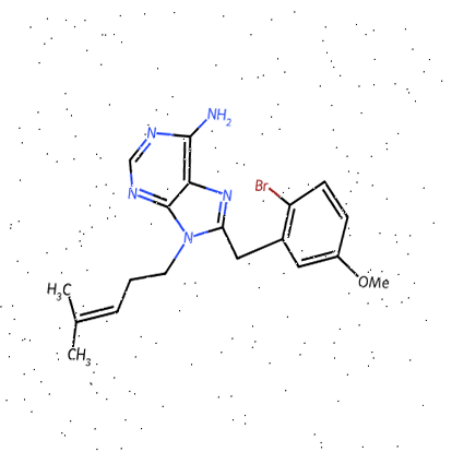 COc1ccc(Br)c(Cc2nc3c(N)ncnc3n2CCC=C(C)C)c1